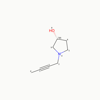 CC#CCN1CC[C@@H](O)C1